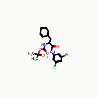 CC(C)(C)OC(=O)NC(Cc1ccccc1)C(=O)Nc1cc(Cl)cc(Br)c1